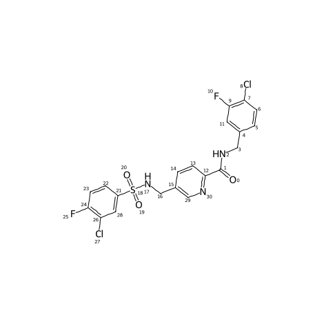 O=C(NCc1ccc(Cl)c(F)c1)c1ccc(CNS(=O)(=O)c2ccc(F)c(Cl)c2)cn1